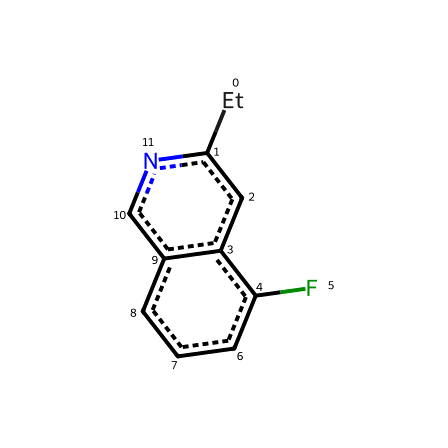 CCc1cc2c(F)cccc2cn1